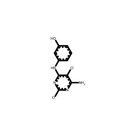 Nc1nc(Cl)nc(Nc2cccc(O)c2)c1Cl